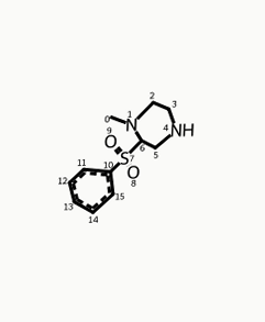 CN1CCNCC1S(=O)(=O)c1ccccc1